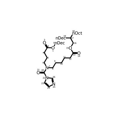 CCCCCCCCCCOC(=O)CCCN(CCCCCC(=O)OCC(CCCCCCCC)CCCCCCCCCC)C(=O)n1ccnc1